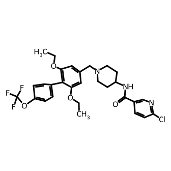 CCOc1cc(CN2CCC(NC(=O)c3ccc(Cl)nc3)CC2)cc(OCC)c1-c1ccc(OC(F)(F)F)cc1